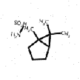 CC1(C)C2CCCC21C.NS(=O)(=O)O